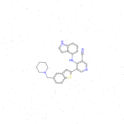 N#Cc1cncc(-c2cc3cc(CN4CCCCC4)ccc3s2)c1Nc1cccc2[nH]ccc12